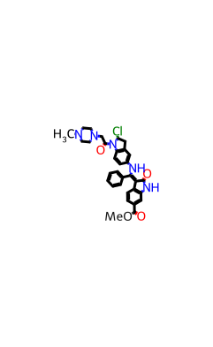 COC(=O)c1ccc2c(c1)NC(=O)/C2=C(\Nc1ccc2c(c1)CC(Cl)N2C(=O)CN1CCN(C)CC1)c1ccccc1